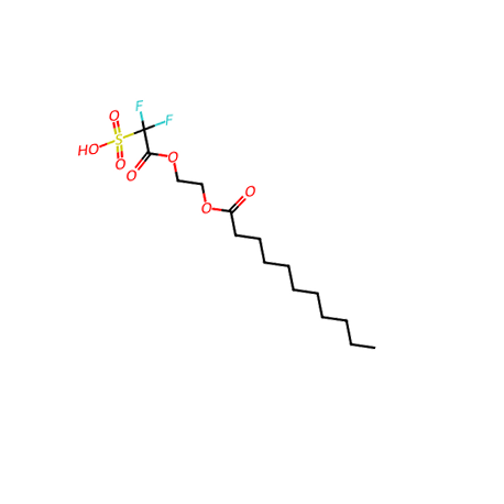 CCCCCCCCCCC(=O)OCCOC(=O)C(F)(F)S(=O)(=O)O